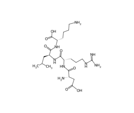 CC(C)C[C@H](NC(=O)[C@H](CCCNC(=N)N)NC(=O)[C@@H](N)CC(=O)O)C(=O)N[C@@H](CCCCN)C(=O)O